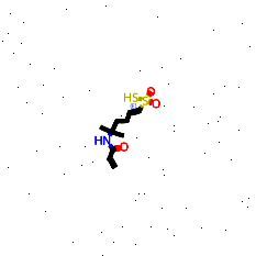 C=CC(=O)NC(C)(C)CC/C=C/S(=O)(=O)S